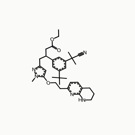 CCOC(=O)CC(Cc1cc(OCCc2ccc3c(n2)NCCC3)n(C)n1)c1cc(C(C)(C)C)cc(C(C)(C)C#N)c1